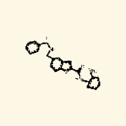 C[C@H](NCc1ccc2sc(C(=O)Nc3ccccc3N)cc2c1)c1ccccc1